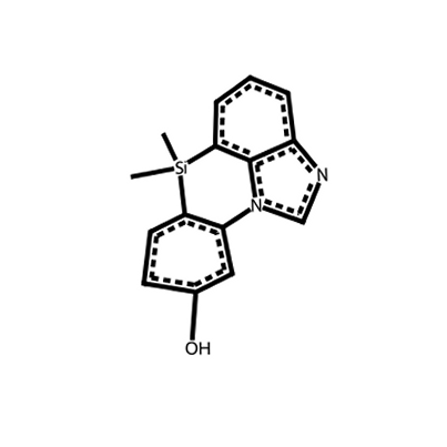 C[Si]1(C)c2ccc(O)cc2-n2cnc3cccc1c32